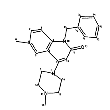 Cc1ccc2c(c1)c(N1CCN(C)CC1)cc(=O)n2Cc1ccccc1